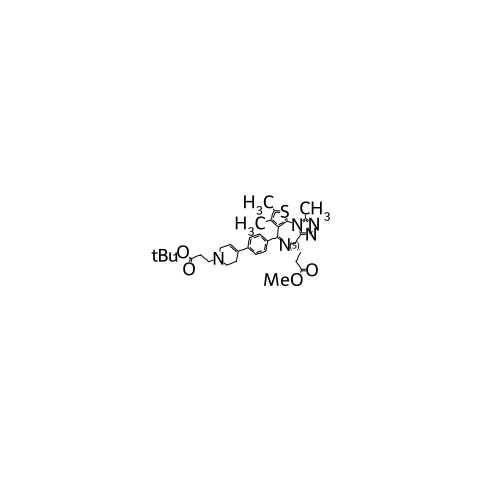 COC(=O)CC[C@@H]1N=C(c2ccc(C3=CCN(CCC(=O)OC(C)(C)C)CC3)cc2)c2c(sc(C)c2C)-n2c(C)nnc21